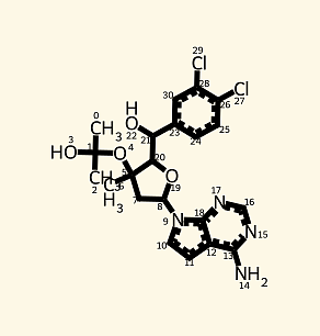 CC(C)(O)OC1(C)CC(n2ccc3c(N)ncnc32)OC1C(O)c1ccc(Cl)c(Cl)c1